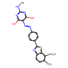 Cc1ccc2nc(-c3ccc(/N=N/c4c(O)nc(NC#N)nc4O)cc3)sc2c1S(=O)(=O)O